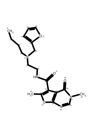 CCCCN(CCNC(=O)c1c(C)oc2ncn(C)c(=O)c12)Cc1ccco1